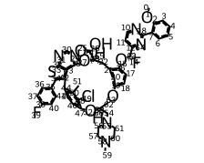 COc1ccccc1-c1nccc([C@H](F)Oc2ccc3cc2C[C@H](C(=O)O)Oc2ncnc4sc(-c5ccc(F)cc5)c(c24)-c2ccc(c(Cl)c2C)O[C@H](CN2CCN(C)CC2)CO3)n1